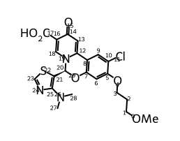 COCCCOc1cc2c(cc1Cl)-c1cc(=O)c(C(=O)O)cn1[C@H](c1scnc1N(C)C)O2